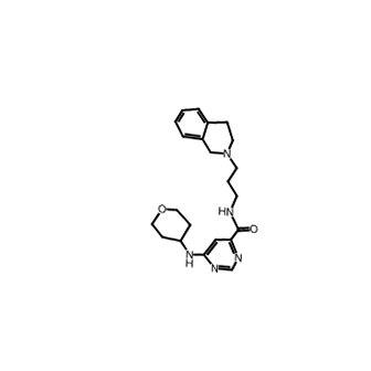 O=C(NCCCN1CCc2ccccc2C1)c1cc(NC2CCOCC2)ncn1